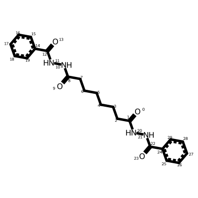 O=C(CCCCCCC(=O)NNC(=O)c1ccccc1)NNC(=O)c1ccccc1